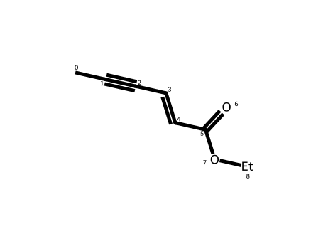 CC#C/C=C/C(=O)OCC